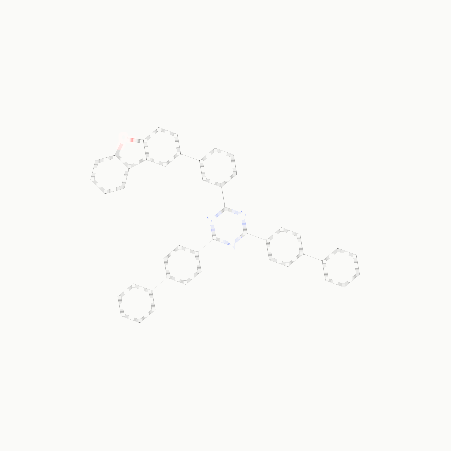 c1ccc(-c2ccc(-c3nc(-c4ccc(-c5ccccc5)cc4)nc(-c4cccc(-c5ccc6oc7ccccc7c6c5)c4)n3)cc2)cc1